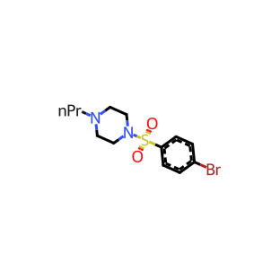 CCCN1CCN(S(=O)(=O)c2ccc(Br)cc2)CC1